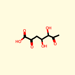 CC(=O)C(O)C(O)CC(=O)C(=O)O